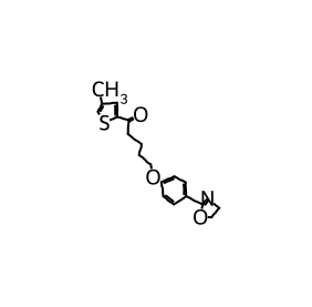 Cc1csc(C(=O)CCCCOc2ccc(C3=NCCO3)cc2)c1